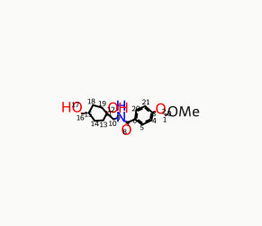 COCOc1ccc(C(=O)NC[C@]2(O)CC[C@@H](CO)CC2)cc1